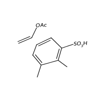 C=COC(C)=O.Cc1cccc(S(=O)(=O)O)c1C